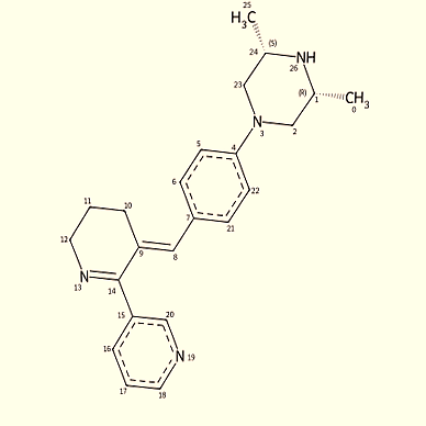 C[C@@H]1CN(c2ccc(C=C3CCCN=C3c3cccnc3)cc2)C[C@H](C)N1